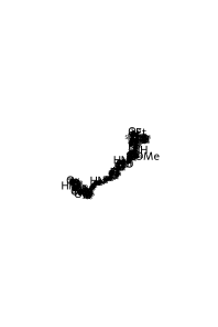 CC[C@@H]1C(=O)N(C)c2cnc(Nc3ccc(C(=O)NC4CCC(N5CCN(CCCNCCC#Cc6cccc7c6CN([C@H]6CCC(=O)NC6=O)C7=O)CC5)CC4)cc3OC)nc2N1C1CCCC1